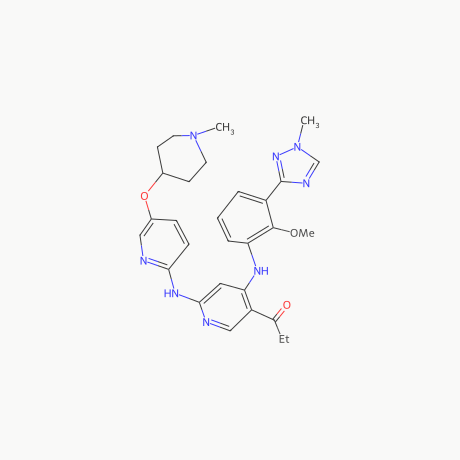 CCC(=O)c1cnc(Nc2ccc(OC3CCN(C)CC3)cn2)cc1Nc1cccc(-c2ncn(C)n2)c1OC